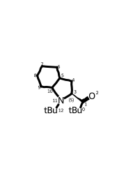 CC(C)(C)C(=O)[C@@H]1CC2CCCCC2N1C(C)(C)C